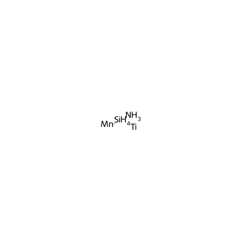 N.[Mn].[SiH4].[Ti]